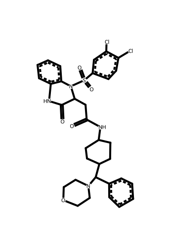 O=C(CC1C(=O)Nc2ccccc2N1S(=O)(=O)c1ccc(Cl)c(Cl)c1)NC1CCC(C(c2ccccc2)N2CCOCC2)CC1